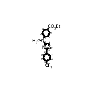 CCOC(=O)C1C=CC(N(C)c2csc(-c3ccc(C(F)(F)F)cc3)n2)=CC1